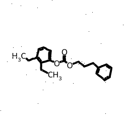 CCc1cccc(OC(=O)OCCCc2ccccc2)c1CC